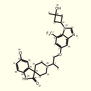 CC(COc1cc(C(F)(F)F)c2c(c1)ncn2C1CC(C)(O)C1)N1CCC2(CC1)C(=O)Nc1ccc(Cl)cc12